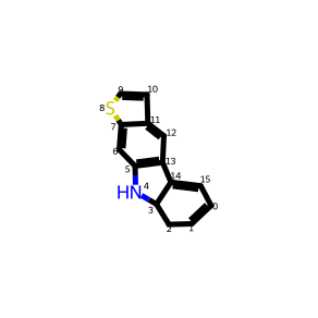 C1=CCC2Nc3cc4sccc4cc3C2=C1